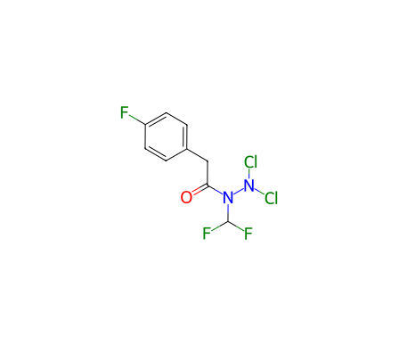 O=C(Cc1ccc(F)cc1)N(C(F)F)N(Cl)Cl